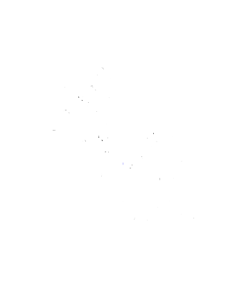 COc1ccccc1-c1c[c]c(Cl)c(Cl)c1/C=C/C(=O)N1CCC(NC(C)=O)(C(=O)O)CC1